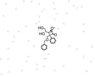 CON1C(=O)[C@](c2ccccc2)([C@@H](C)OCc2ccccc2)[C@H]1[C@H](O)CO